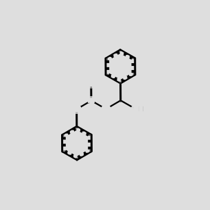 CC(OP(O)Oc1ccccc1)c1ccccc1